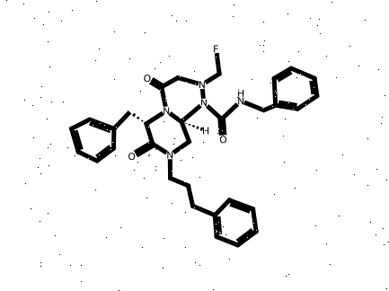 O=C1[C@H](Cc2ccccc2)N2C(=O)CN(CF)N(C(=O)NCc3ccccc3)[C@H]2CN1CCCc1ccccc1